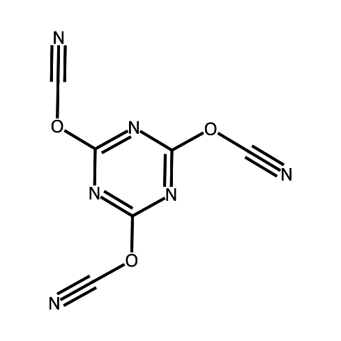 N#COc1nc(OC#N)nc(OC#N)n1